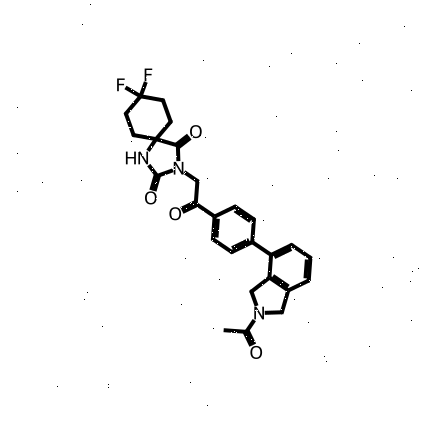 CC(=O)N1Cc2cccc(-c3ccc(C(=O)CN4C(=O)NC5(CCC(F)(F)CC5)C4=O)cc3)c2C1